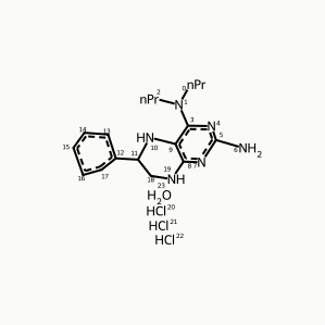 CCCN(CCC)c1nc(N)nc2c1NC(c1ccccc1)CN2.Cl.Cl.Cl.O